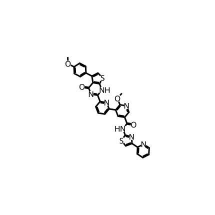 COc1ccc(-c2csc3[nH]c(-c4cccc(-c5cc(C(=O)Nc6nc(-c7ccccn7)cs6)cnc5OC)n4)nc(=O)c23)cc1